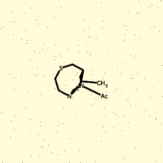 CC(=O)N1CC2CSCCN(CC2C)C1